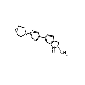 CN1Cc2ccc(-c3cnc(N4CCOCC4)nc3)cc2N1